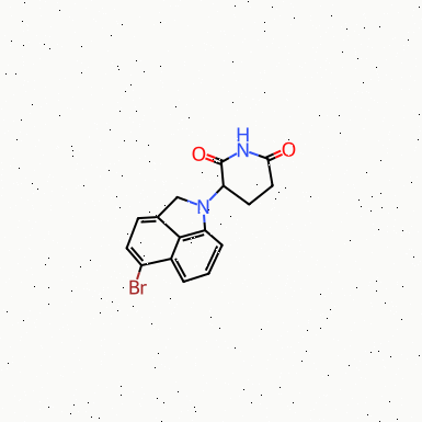 O=C1CCC(N2Cc3ccc(Br)c4cccc2c34)C(=O)N1